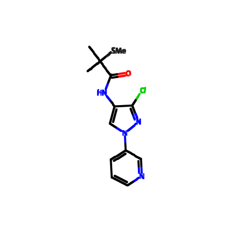 CSC(C)(C)C(=O)Nc1cn(-c2cccnc2)nc1Cl